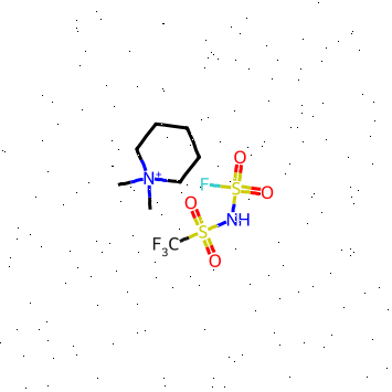 C[N+]1(C)CCCCC1.O=S(=O)(F)NS(=O)(=O)C(F)(F)F